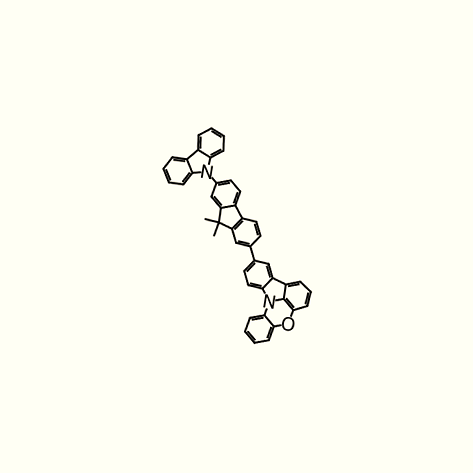 CC1(C)c2cc(-c3ccc4c(c3)c3cccc5c3n4-c3ccccc3O5)ccc2-c2ccc(-n3c4ccccc4c4ccccc43)cc21